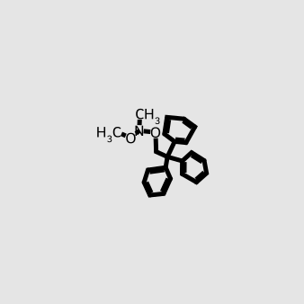 CON(C)OCC(c1ccccc1)(c1ccccc1)c1ccccc1